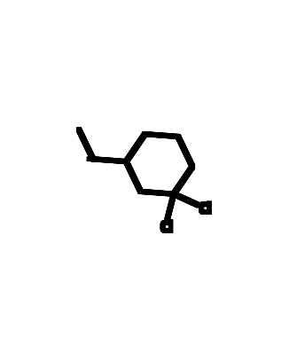 C[CH]C1CCCC(Cl)(Cl)C1